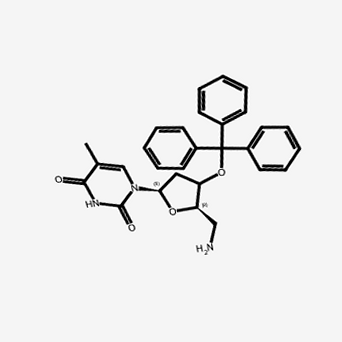 Cc1cn([C@H]2CC(OC(c3ccccc3)(c3ccccc3)c3ccccc3)[C@@H](CN)O2)c(=O)[nH]c1=O